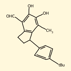 Cc1c(O)c(O)c(C=O)c2c1C(c1ccc(C(C)(C)C)cc1)CC2